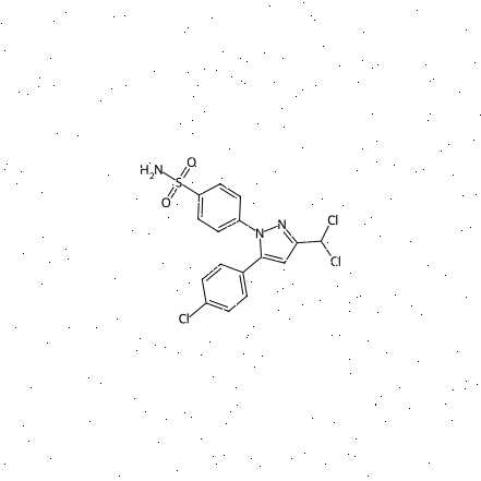 NS(=O)(=O)c1ccc(-n2nc(C(Cl)Cl)cc2-c2ccc(Cl)cc2)cc1